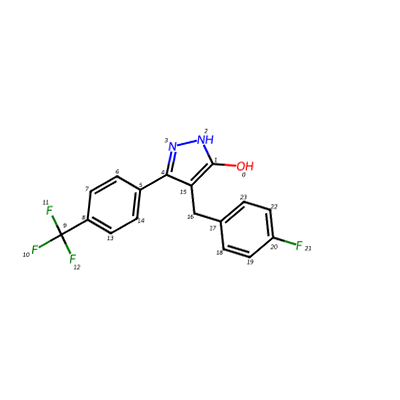 Oc1[nH]nc(-c2ccc(C(F)(F)F)cc2)c1Cc1ccc(F)cc1